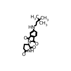 CC(C)(C)CCNc1ccc2c(c1)C(=O)N(C1CCC(=O)NC1=O)C2=O